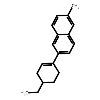 CCC1CC=C(c2ccc3cc(C)ccc3c2)CC1